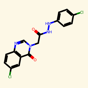 O=C(Cn1cnc2ccc(Cl)cc2c1=O)NNc1ccc(Cl)cc1